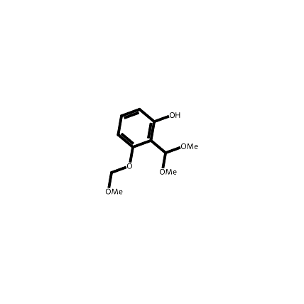 COCOc1cccc(O)c1C(OC)OC